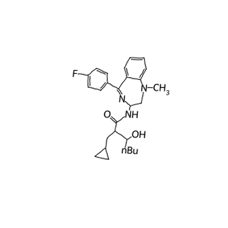 CCCCC(O)C(CC1CC1)C(=O)NC1CN(C)c2ccccc2C(c2ccc(F)cc2)=N1